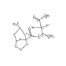 CC1CC2CCCC(C(=O)OC(C)C(F)(F)C(=O)O)(C1)C2